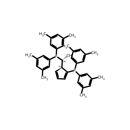 Cc1cc(C)cc(P(C2=CC=C[C@H]2[C@@H](C)P(c2cc(C)cc(C)c2)c2cc(C)cc(C)c2)c2cc(C)cc(C)c2)c1